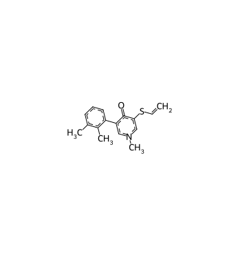 C=CSc1cn(C)cc(-c2cccc(C)c2C)c1=O